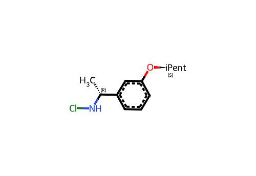 CCC[C@H](C)Oc1cccc([C@@H](C)NCl)c1